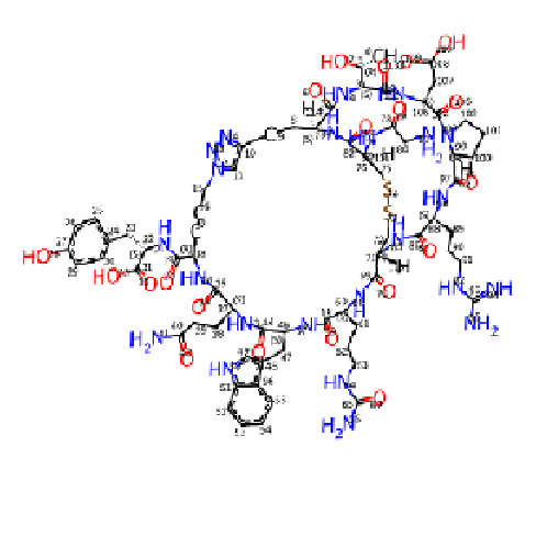 C[C@@H](O)[C@@H]1NC(=O)[C@@H]2CCc3cn(nn3)CCC[C@H](C(=O)N[C@@H](Cc3ccc(O)cc3)C(=O)O)NC(=O)[C@H](CCC(N)=O)NC(=O)[C@H](Cc3c[nH]c4ccccc34)NC(=O)[C@H](CCCNC(N)=O)NC(=O)[C@H](CSSC[C@H](NC(=O)CN)C(=O)N2)NC(=O)[C@H](CCCNC(=N)N)NC(=O)[C@@H]2CCCN2C(=O)[C@H](CC(=O)O)NC1=O